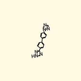 c1ncn(-c2ccc(-c3ccc(-c4nc[nH]n4)cc3)cc2)n1